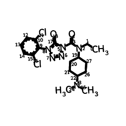 CCN(C(=O)n1nnn(-c2c(Cl)cccc2Cl)c1=O)C1CCC(N(C)C)CC1